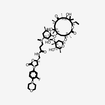 CC[C@H]1OC(=O)[C@H](C)[C@@H](O[C@H]2C[C@@](C)(OC)[C@@H](O)[C@H](C)O2)C[C@@H](O[C@@H]2O[C@H](C)C[C@H](N(C)CCC(=O)NC[C@H]3CN(c4ccc(N5CCOCC5)c(F)c4)C(=O)O3)[C@H]2O)[C@](C)(O)C[C@@H](C)C(=O)[C@H](C)[C@@H](O)C1(C)C